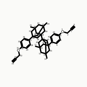 C#CCOc1ccc(C23CC4(C)CC(C)(C2)CC(C25CC6(C)CC(C)(CC(c7ccc(OCC#C)cc7)(C6)C2)C5)(C4)C3)cc1